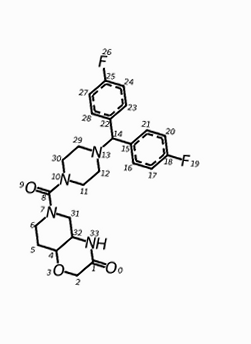 O=C1COC2CCN(C(=O)N3CCN(C(c4ccc(F)cc4)c4ccc(F)cc4)CC3)CC2N1